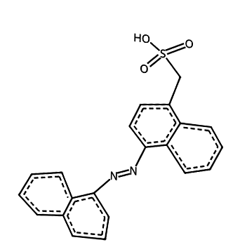 O=S(=O)(O)Cc1ccc(N=Nc2cccc3ccccc23)c2ccccc12